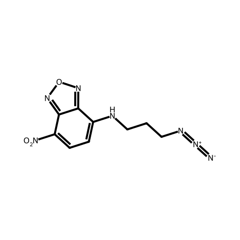 [N-]=[N+]=NCCCNc1ccc([N+](=O)[O-])c2nonc12